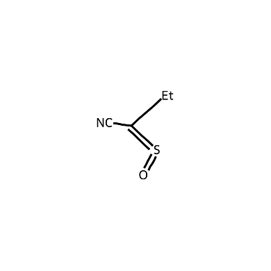 CCC(C#N)=S=O